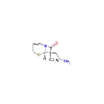 NCCC1(C(=O)O)C(=O)N2C=CCS[C@H]21